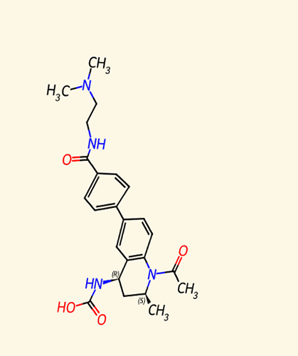 CC(=O)N1c2ccc(-c3ccc(C(=O)NCCN(C)C)cc3)cc2[C@H](NC(=O)O)C[C@@H]1C